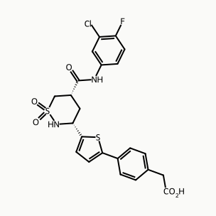 O=C(O)Cc1ccc(-c2ccc([C@H]3C[C@@H](C(=O)Nc4ccc(F)c(Cl)c4)CS(=O)(=O)N3)s2)cc1